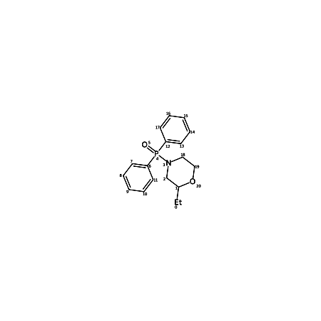 CCC1CN(P(=O)(c2ccccc2)c2ccccc2)CCO1